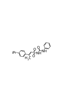 C/C(=C\S(=O)(=O)NC(=O)Nc1ccccc1)c1ccc(C(C)C)cc1